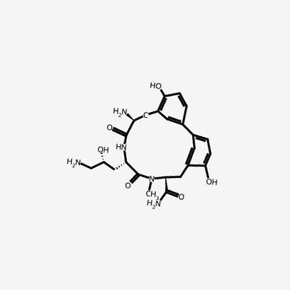 CN1C(=O)[C@H](C[C@@H](O)CN)NC(=O)[C@@H](N)Cc2cc(ccc2O)-c2ccc(O)c(c2)C[C@H]1C(N)=O